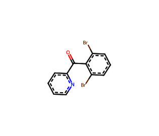 O=C(c1ccccn1)c1c(Br)cccc1Br